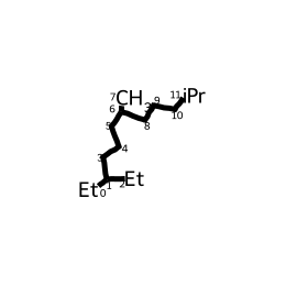 CCC(CC)CCCC(C)CCCC(C)C